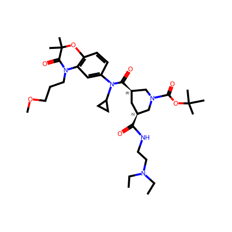 CCN(CC)CCNC(=O)[C@H]1C[C@@H](C(=O)N(c2ccc3c(c2)N(CCCOC)C(=O)C(C)(C)O3)C2CC2)CN(C(=O)OC(C)(C)C)C1